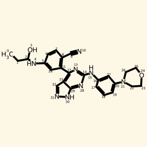 CCC(O)Nc1ccc(C#N)c(-c2nc(Nc3cccc(N4CCOCC4)c3)nc3[nH]ncc23)c1